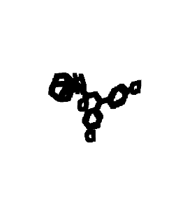 O=C(CC(c1ccc(Cl)cc1)c1ccc(Cl)cc1)NC12CC3CC(CC(C3)C1)C2